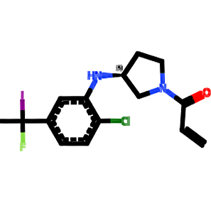 C=CC(=O)N1CC[C@H](Nc2cc(C(C)(F)I)ccc2Cl)C1